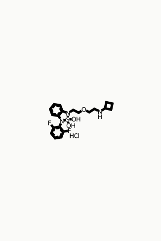 Cl.OS1(O)N(CCOCCNC2CCC2)c2ccccc2N1c1c(F)cccc1F